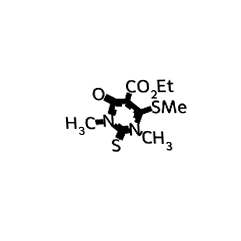 CCOC(=O)c1c(SC)n(C)c(=S)n(C)c1=O